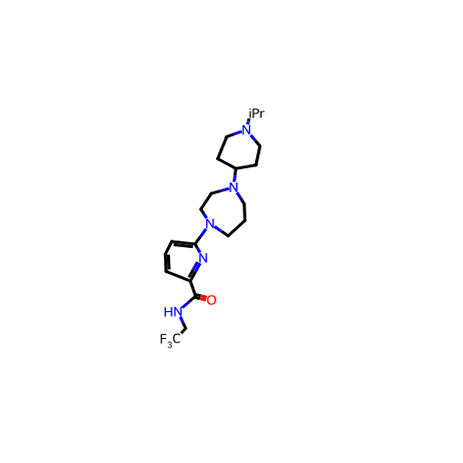 CC(C)N1CCC(N2CCCN(c3cccc(C(=O)NCC(F)(F)F)n3)CC2)CC1